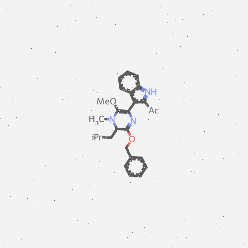 COC1=C(c2c(C(C)=O)[nH]c3ccccc23)N=C(OCc2ccccc2)C(CC(C)C)N1C